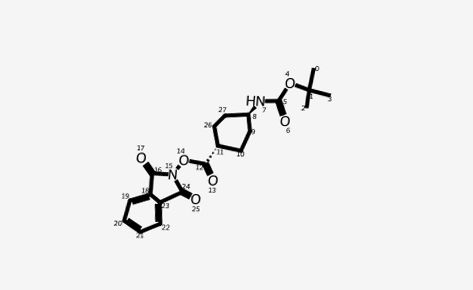 CC(C)(C)OC(=O)N[C@H]1CC[C@H](C(=O)ON2C(=O)c3ccccc3C2=O)CC1